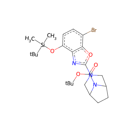 CC(C)(C)OC(=O)N1C2CCC1CN(c1nc3c(O[Si](C)(C)C(C)(C)C)ccc(Br)c3o1)C2